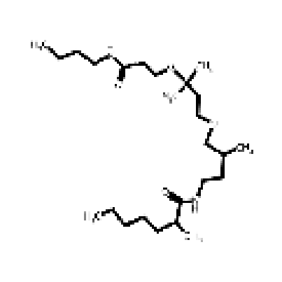 CCCCCC(C)C(=O)NCCC(C)COCCC(C)(C)OCCC(=O)NCCCC